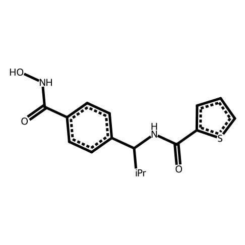 CC(C)C(NC(=O)c1cccs1)c1ccc(C(=O)NO)cc1